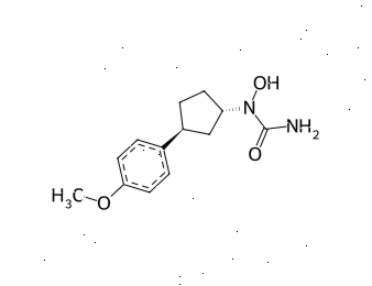 COc1ccc([C@H]2CC[C@H](N(O)C(N)=O)C2)cc1